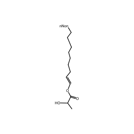 CCCCCCCCCCCCCCCCC=COC(=O)C(C)O